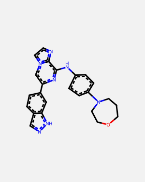 c1cn2cc(-c3ccc4cn[nH]c4c3)nc(Nc3ccc(N4CCCOCC4)cc3)c2n1